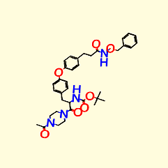 CC(=O)N1CCN(C(=O)C(Cc2ccc(Oc3ccc(CCC(=O)NOCc4ccccc4)cc3)cc2)NC(=O)OC(C)(C)C)CC1